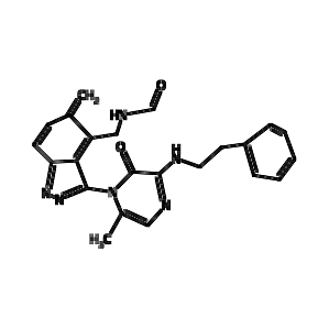 C=c1ccc2c(c1CNC=O)C(n1c(C)cnc(NCCc3ccccc3)c1=O)=NN=2